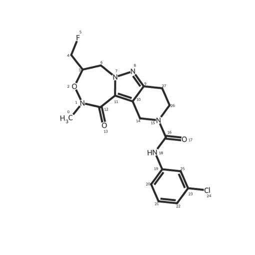 CN1OC(CF)Cn2nc3c(c2C1=O)CN(C(=O)Nc1cccc(Cl)c1)CC3